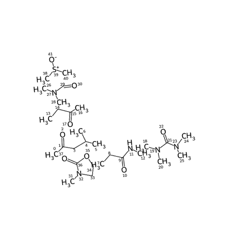 CC(=O)CC(C)C.CCC(=O)NC.CCC(C)=O.CN(C)C(=O)N(C)C.CN(C)C=O.CN1CCOC1=O.C[S+](C)[O-]